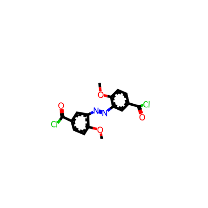 COc1ccc(C(=O)Cl)cc1N=Nc1cc(C(=O)Cl)ccc1OC